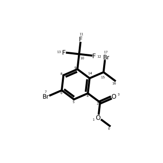 COC(=O)c1cc(Br)cc(C(F)(F)F)c1C(C)Br